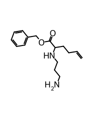 C=CCCC(NCCCN)C(=O)OCc1ccccc1